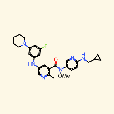 CON(C(=O)c1cc(Nc2cc(F)cc(N3CCCCC3)c2)cnc1C)c1ccc(NCC2CC2)nc1